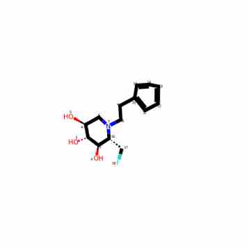 O[C@H]1[C@H](O)[C@@H](O)CN(CCc2ccccc2)[C@@H]1CF